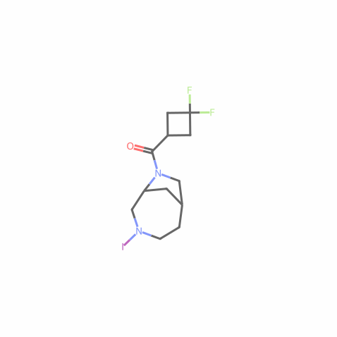 O=C(C1CC(F)(F)C1)N1CC2CCN(I)CC1C2